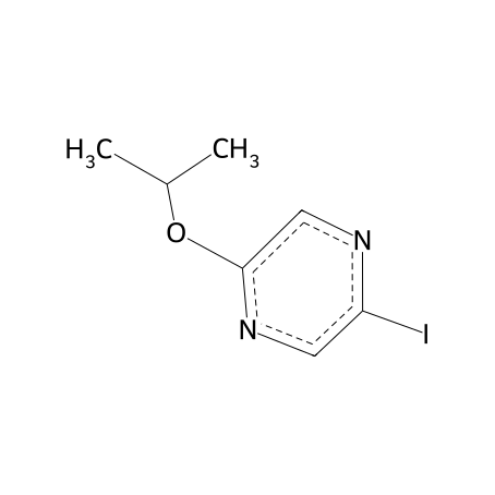 CC(C)Oc1cnc(I)cn1